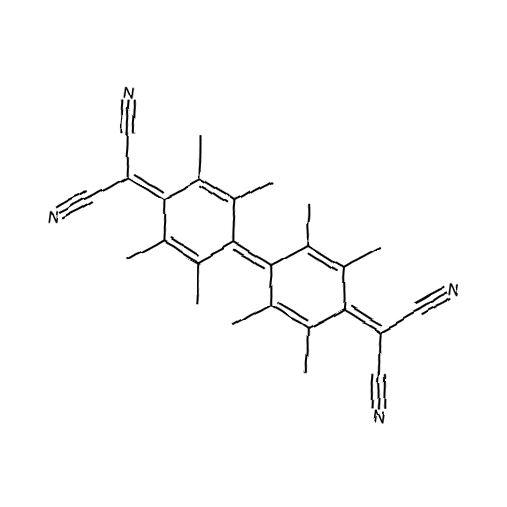 Cc1c(C)c(=c2c(C)c(C)c(=C(C#N)C#N)c(C)c2C)c(C)c(C)c1=C(C#N)C#N